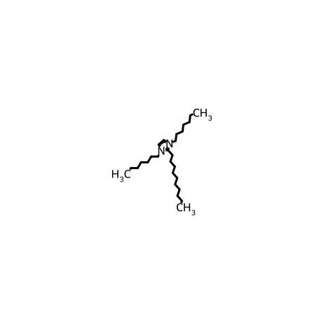 CCCCCCCCCCc1n(CCCCCCC)cc[n+]1CCCCCCC